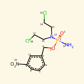 NP(=O)(OCc1cccc([N+](=O)[O-])c1)N(CCCl)CCCl